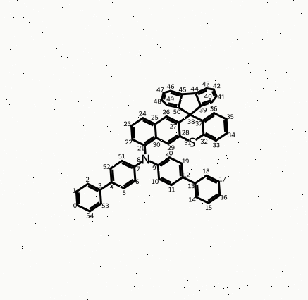 c1ccc(-c2ccc(N(c3ccc(-c4ccccc4)cc3)c3cccc4cc5c(cc34)Sc3ccccc3C53c4ccccc4-c4ccccc43)cc2)cc1